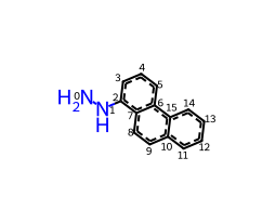 NNc1cccc2c1ccc1ccccc12